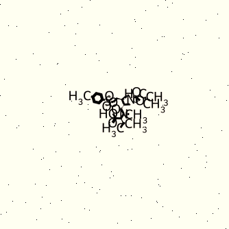 Cc1ccc(S(=O)(=O)OC[C@H]2CN(C(=O)OC(C)(C)C)C[C@@H]2C(=O)N(C)[C@H](C(=O)O)C(C)C)cc1